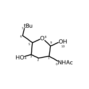 CC(=O)NC1CC(O)C(CC(C)(C)C)OC1O